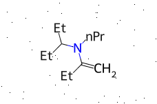 C=C(CC)N(CCC)C(CC)CC